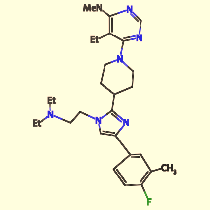 CCc1c(NC)ncnc1N1CCC(c2nc(-c3ccc(F)c(C)c3)cn2CCN(CC)CC)CC1